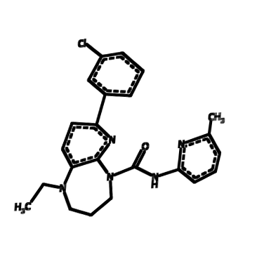 CCN1CCCN(C(=O)Nc2cccc(C)n2)c2nc(-c3cccc(Cl)c3)ccc21